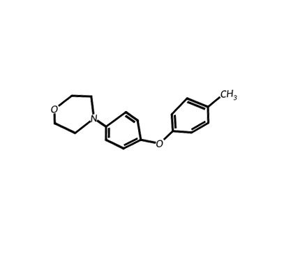 Cc1ccc(Oc2ccc(N3CCOCC3)cc2)cc1